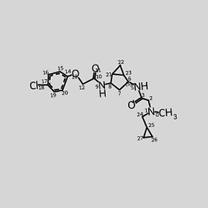 CN(CC(=O)N[C@H]1CC(NC(=O)COc2ccc(Cl)cc2)C2CC21)CC1CC1